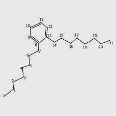 CCCCCCCCc1ccccc1CCCCCCCC